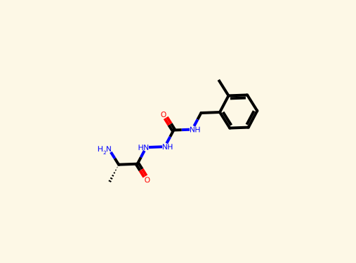 Cc1ccccc1CNC(=O)NNC(=O)[C@H](C)N